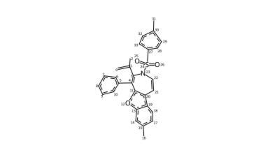 C=C(C)C1=C(c2ccccc2)c2oc3cc(C)ccc3c2C=CN1S(=O)(=O)c1ccc(C)cc1